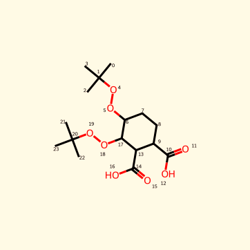 CC(C)(C)OOC1CCC(C(=O)O)C(C(=O)O)C1OOC(C)(C)C